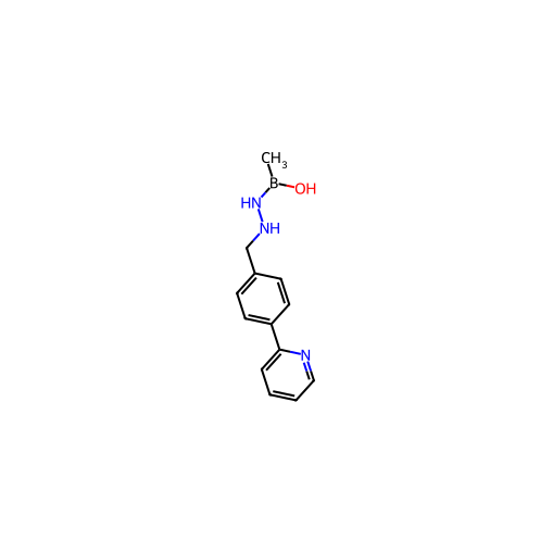 CB(O)NNCc1ccc(-c2ccccn2)cc1